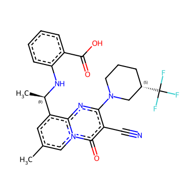 Cc1cc([C@@H](C)Nc2ccccc2C(=O)O)c2nc(N3CCC[C@H](C(F)(F)F)C3)c(C#N)c(=O)n2c1